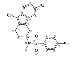 CCc1c2n(c3nc(Cl)ccc13)CC(N(C)S(=O)(=O)c1ccc(F)cc1)CC2